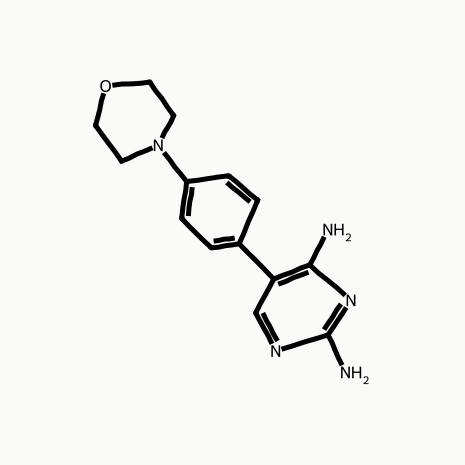 Nc1ncc(-c2ccc(N3CCOCC3)cc2)c(N)n1